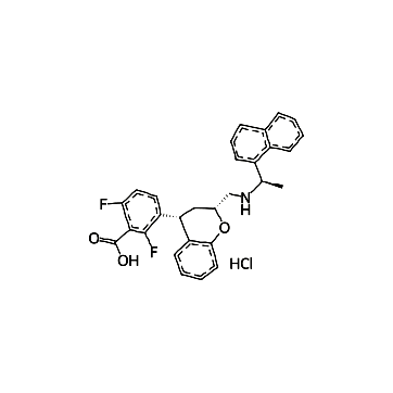 C[C@@H](NC[C@H]1C[C@@H](c2ccc(F)c(C(=O)O)c2F)c2ccccc2O1)c1cccc2ccccc12.Cl